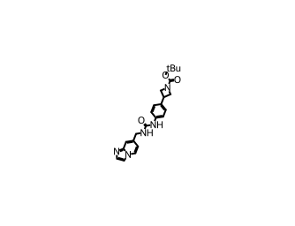 CC(C)(C)OC(=O)N1CC(c2ccc(NC(=O)NCc3ccn4ccnc4c3)cc2)C1